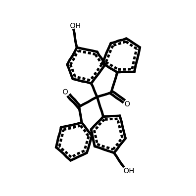 O=C(c1ccccc1)C(C(=O)c1ccccc1)(c1ccc(O)cc1)c1ccc(O)cc1